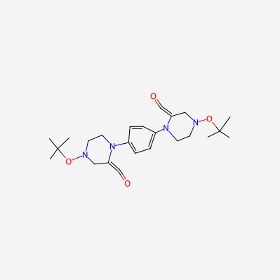 CC(C)(C)ON1CCN(c2ccc(N3CCN(OC(C)(C)C)CC3=C=O)cc2)C(=C=O)C1